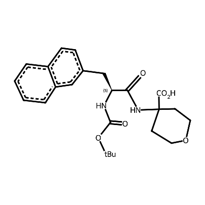 CC(C)(C)OC(=O)N[C@@H](Cc1ccc2ccccc2c1)C(=O)NC1(C(=O)O)CCOCC1